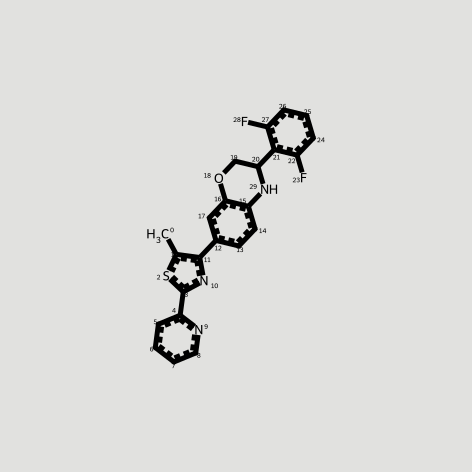 Cc1sc(-c2ccccn2)nc1-c1ccc2c(c1)OCC(c1c(F)cccc1F)N2